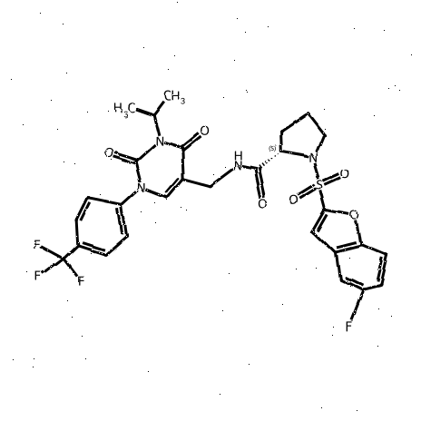 CC(C)n1c(=O)c(CNC(=O)[C@@H]2CCCN2S(=O)(=O)c2cc3cc(F)ccc3o2)cn(-c2ccc(C(F)(F)F)cc2)c1=O